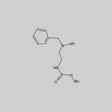 CCCN(CCNC(=O)OC(C)(C)C)Cc1ccccc1